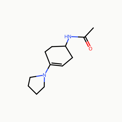 CC(=O)NC1CC=C(N2CCCC2)CC1